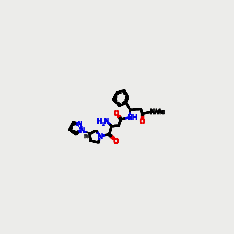 CNC(=O)CC(NC(=O)CC(N)C(=O)N1CC[C@H](n2cccn2)C1)c1ccccc1